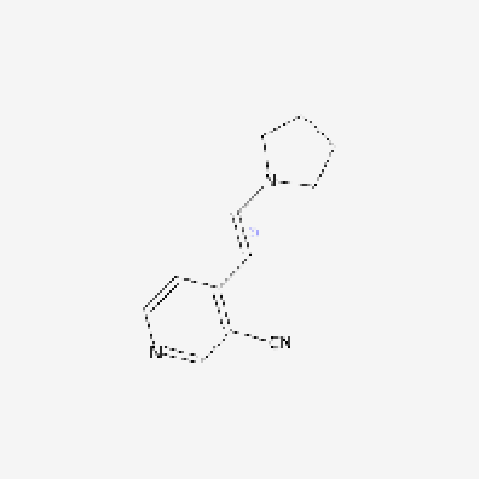 N#Cc1cnccc1/C=C/N1CCCC1